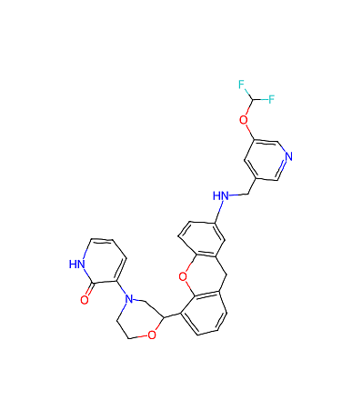 O=c1[nH]cccc1N1CCOC(c2cccc3c2Oc2ccc(NCc4cncc(OC(F)F)c4)cc2C3)C1